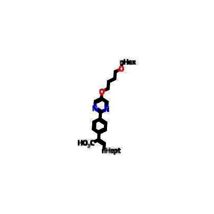 CCCCCCCC=C(C(=O)O)c1ccc(-c2ncc(OCCCCOCCCCCC)cn2)cc1